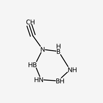 C#CN1BNBNB1